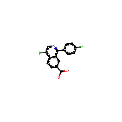 O=C(O)c1ccc2c(F)cnc(-c3ccc(F)cc3)c2c1